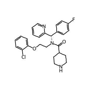 O=C(C1CCNCC1)N(CCOc1ccccc1Cl)[C@@H](c1ccc(F)cc1)c1ccccn1